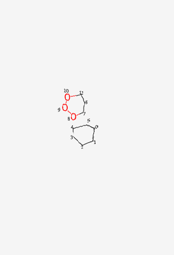 C1CCCCC1.C1COOOC1